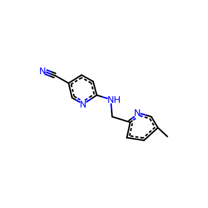 Cc1ccc(CNc2ccc(C#N)cn2)nc1